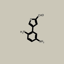 Nc1ccc(N)c(-c2coc(C=O)c2)c1